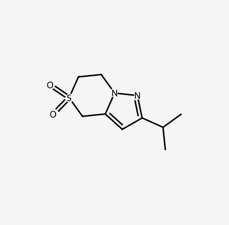 CC(C)c1cc2n(n1)CCS(=O)(=O)C2